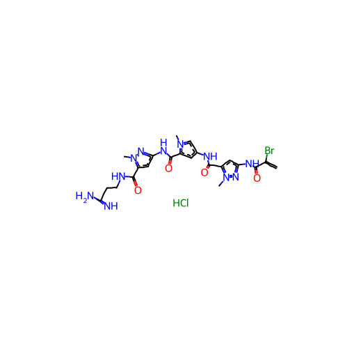 C=C(Br)C(=O)Nc1cc(C(=O)Nc2cc(C(=O)Nc3cc(C(=O)NCCC(=N)N)n(C)n3)n(C)c2)n(C)n1.Cl